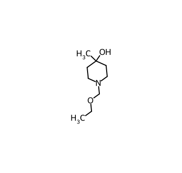 CCOCN1CCC(C)(O)CC1